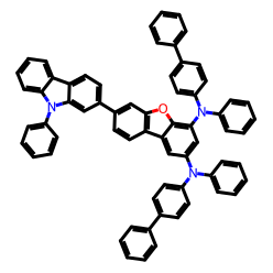 c1ccc(-c2ccc(N(c3ccccc3)c3cc(N(c4ccccc4)c4ccc(-c5ccccc5)cc4)c4oc5cc(-c6ccc7c8ccccc8n(-c8ccccc8)c7c6)ccc5c4c3)cc2)cc1